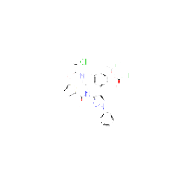 CC(Cl)C(=O)N(CCN(C(=O)c1cccs1)c1ccn(-c2ccccc2)n1)Cc1ccccc1.CC(Cl)OC(=O)Cl